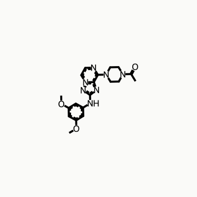 COc1cc(Nc2nc3c(N4CCN(C(C)=O)CC4)nccn3n2)cc(OC)c1